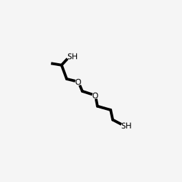 CC(S)COCOCCCS